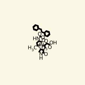 CC(C)CC(NC(=O)OC(Cc1ccccc1)c1ccccc1)C(=O)NC(C[C@@H]1CCNC1=O)C(=O)C(=O)O